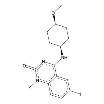 CO[C@H]1CC[C@@H](Nc2nc(=O)n(C)c3ccc(I)cc23)CC1